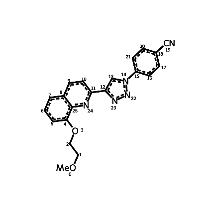 COCCOc1cccc2ccc(-c3cn(-c4ccc(C#N)cc4)nn3)nc12